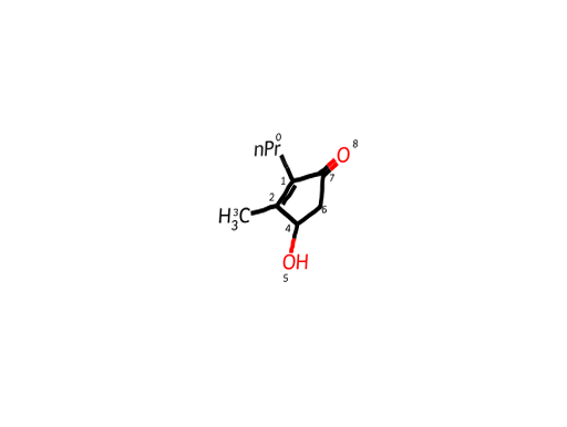 CCCC1=C(C)C(O)CC1=O